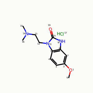 COc1ccc2c(c1)[nH]c(=O)n2CCN(C)C.Cl